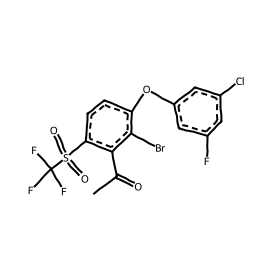 CC(=O)c1c(S(=O)(=O)C(F)(F)F)ccc(Oc2cc(F)cc(Cl)c2)c1Br